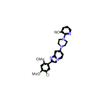 COc1cc(OC)c(-c2cn3ccc(N4CCN(c5ncccc5C#N)CC4)cc3n2)cc1Cl